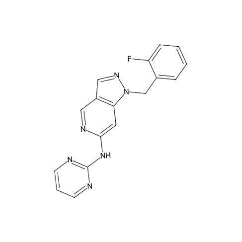 Fc1ccccc1Cn1ncc2cnc(Nc3ncccn3)cc21